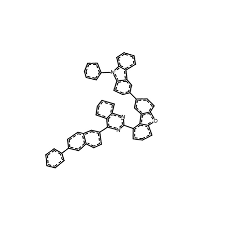 c1ccc(-c2ccc3cc(-c4nc(-c5cccc6oc7ccc(-c8ccc9c(c8)c8ccccc8n9-c8ccccc8)cc7c56)nc5ccccc45)ccc3c2)cc1